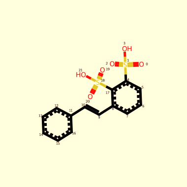 O=S(=O)(O)c1cccc(C=Cc2ccccc2)c1S(=O)(=O)O